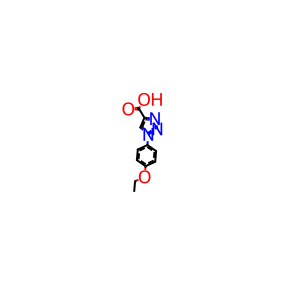 CCOc1ccc(-n2cc(C(=O)O)nn2)cc1